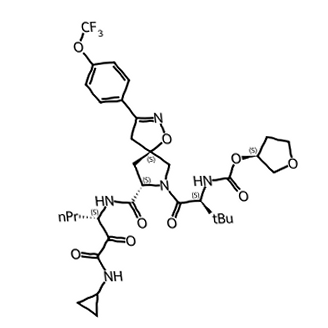 CCC[C@H](NC(=O)[C@@H]1C[C@]2(CC(c3ccc(OC(F)(F)F)cc3)=NO2)CN1C(=O)[C@@H](NC(=O)O[C@H]1CCOC1)C(C)(C)C)C(=O)C(=O)NC1CC1